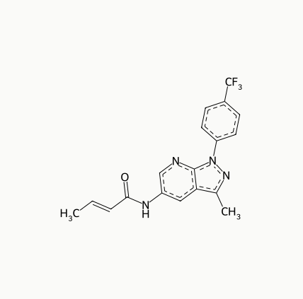 C/C=C/C(=O)Nc1cnc2c(c1)c(C)nn2-c1ccc(C(F)(F)F)cc1